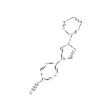 N#Cc1ccc(-c2cn(-c3ccccc3)nn2)cc1